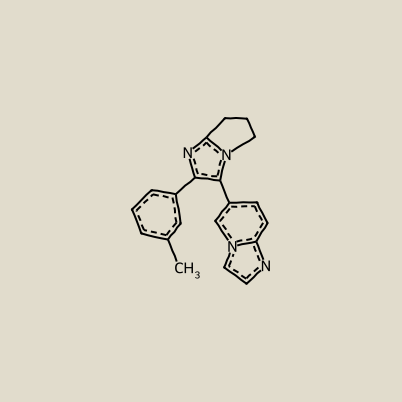 Cc1cccc(-c2nc3n(c2-c2ccc4nccn4c2)CCC3)c1